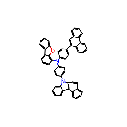 c1ccc2c(c1)cc(-c1ccc(N(c3ccc(-n4c5ccccc5c5c6ccccc6ccc54)cc3)c3cccc4c3oc3ccccc34)cc1)c1ccccc12